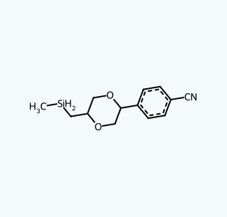 C[SiH2]CC1COC(c2ccc(C#N)cc2)CO1